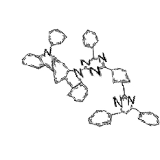 c1ccc(-c2cc(-c3ccccc3)nc(-c3cccc(-c4nc(-c5ccccc5)nc(-n5c6ccccc6c6cc7c8ccccc8n(-c8ccccc8)c7cc65)n4)c3)n2)cc1